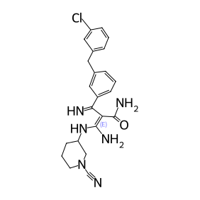 N#CN1CCCC(N/C(N)=C(\C(=N)c2cccc(Cc3cccc(Cl)c3)c2)C(N)=O)C1